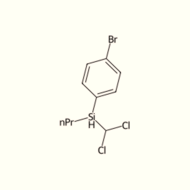 CCC[SiH](c1ccc(Br)cc1)C(Cl)Cl